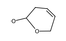 [O]C1CC=CCO1